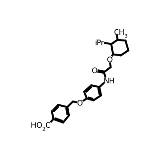 CC(C)C1C(C)CCCC1OCC(=O)Nc1ccc(OCc2ccc(C(=O)O)cc2)cc1